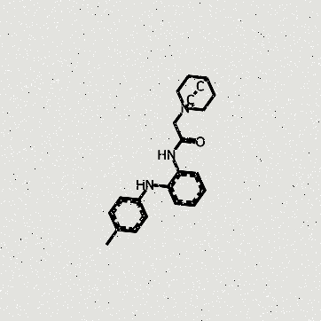 Cc1ccc(Nc2ccccc2NC(=O)C[N+]23CCC(CC2)CC3)cc1